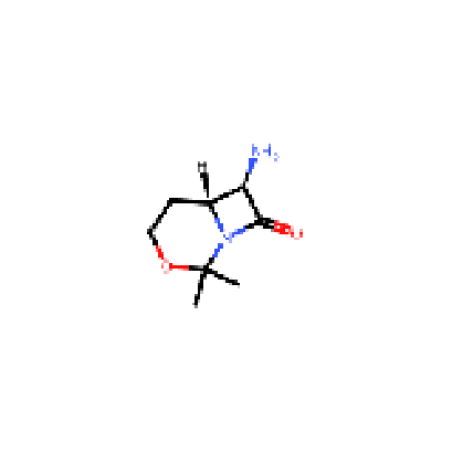 CC1(C)OCC[C@@H]2[C@@H](N)C(=O)N21